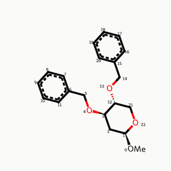 CO[C@H]1C[C@@H](OCc2ccccc2)[C@H](OCc2ccccc2)CO1